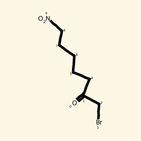 O=C(CBr)CCCCC[N+](=O)[O-]